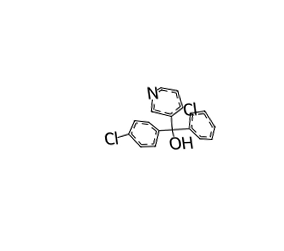 OC(c1ccccc1)(c1ccc(Cl)cc1)c1cnccc1Cl